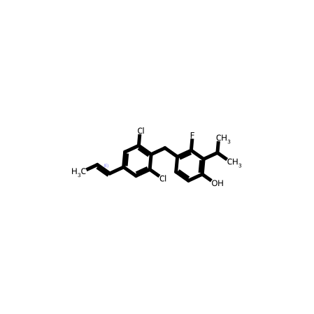 C/C=C/c1cc(Cl)c(Cc2ccc(O)c(C(C)C)c2F)c(Cl)c1